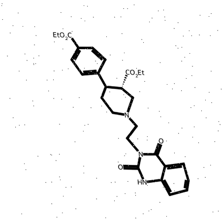 CCOC(=O)c1ccc(C2CCN(CCn3c(=O)[nH]c4ccccc4c3=O)C[C@H]2C(=O)OCC)cc1